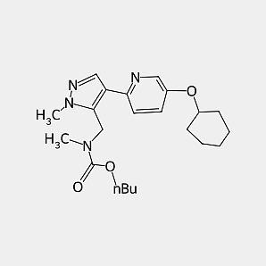 CCCCOC(=O)N(C)Cc1c(-c2ccc(OC3CCCCC3)cn2)cnn1C